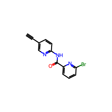 C#Cc1ccc(NC(=O)c2cccc(Br)n2)nc1